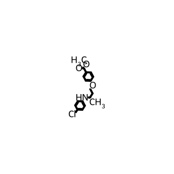 COC(=O)c1ccc(OCCC(C)Nc2ccc(Cl)cc2)cc1